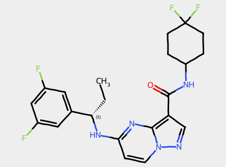 CC[C@H](Nc1ccn2ncc(C(=O)NC3CCC(F)(F)CC3)c2n1)c1cc(F)cc(F)c1